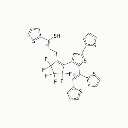 FC1(F)C(C/C=C(\S)c2cccs2)=C(c2cc(-c3cccs3)sc2/C(=C/c2cccs2)c2cccs2)C(F)(F)C1(F)F